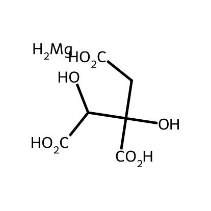 O=C(O)CC(O)(C(=O)O)C(O)C(=O)O.[MgH2]